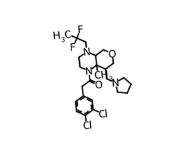 CC(F)(F)CN1CCN(C(=O)Cc2ccc(Cl)c(Cl)c2)C2(C)C(CN3CCCC3)COCC12